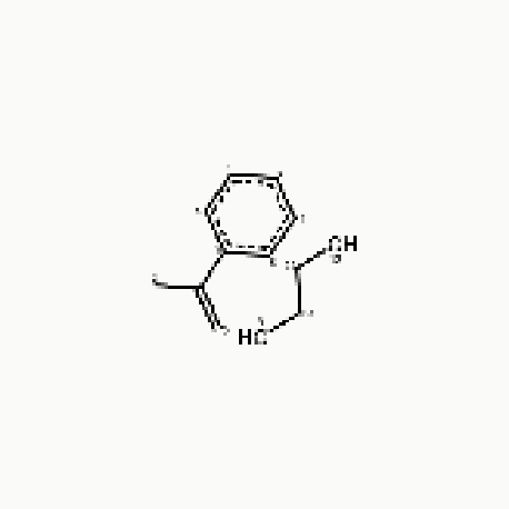 C=C(C)c1ccccc1.OCCO